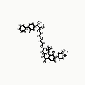 COc1c(N2CCNC(C)C2)c(F)cc2c(=O)cc(CCOCCOCCOC(=O)C(C)c3ccc(-c4ccccc4)c(F)c3)n(C3CC3)c12